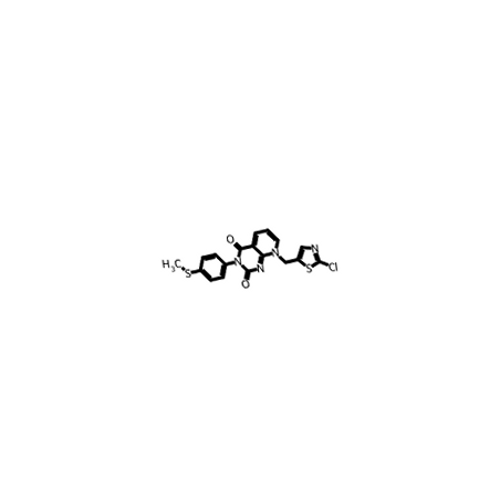 CSc1ccc(-n2c(=O)nc3n(Cc4cnc(Cl)s4)cccc-3c2=O)cc1